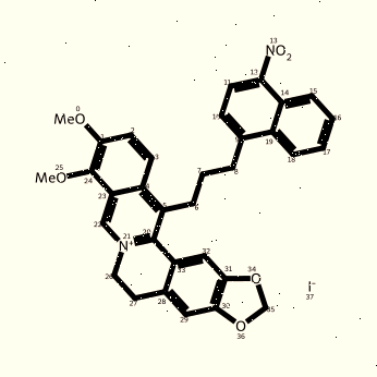 COc1ccc2c(CCCc3ccc([N+](=O)[O-])c4ccccc34)c3[n+](cc2c1OC)CCc1cc2c(cc1-3)OCO2.[I-]